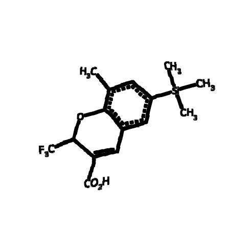 Cc1cc([Si](C)(C)C)cc2c1OC(C(F)(F)F)C(C(=O)O)=C2